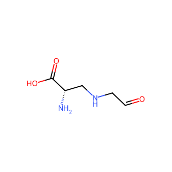 N[C@@H](CNCC=O)C(=O)O